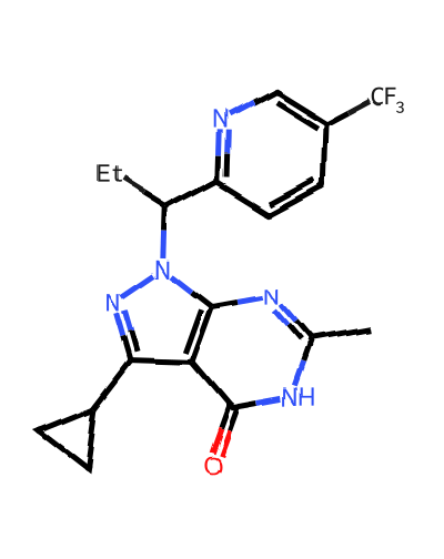 CCC(c1ccc(C(F)(F)F)cn1)n1nc(C2CC2)c2c(=O)[nH]c(C)nc21